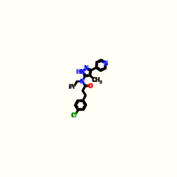 Cc1c(-c2ccncc2)n[nH]c1N(CC(C)C)C(=O)CCc1ccc(Cl)cc1